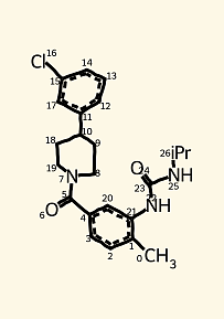 Cc1ccc(C(=O)N2CCC(c3cccc(Cl)c3)CC2)cc1NC(=O)NC(C)C